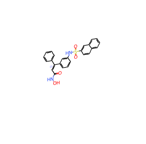 O=C(/C=C(/c1ccccc1)c1cccc(NS(=O)(=O)c2ccc3ccccc3c2)c1)NO